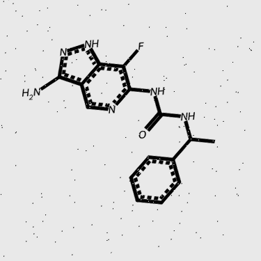 CC(NC(=O)Nc1ncc2c(N)n[nH]c2c1F)c1ccccc1